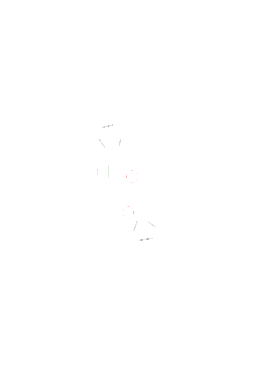 ClC(Cc1ccccc1)OCCOc1ccccc1